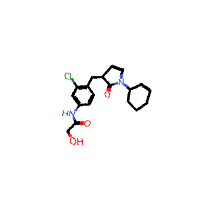 O=C(CO)Nc1ccc(CC2CCN(C3CCCCC3)C2=O)c(Cl)c1